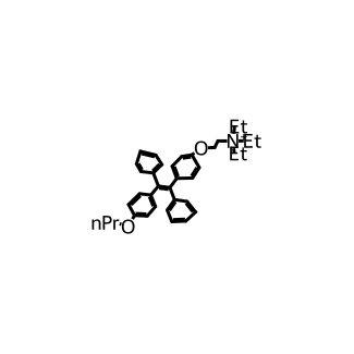 CCCOc1ccc(/C(=C(\c2ccccc2)c2ccc(OCC[N+](CC)(CC)CC)cc2)c2ccccc2)cc1